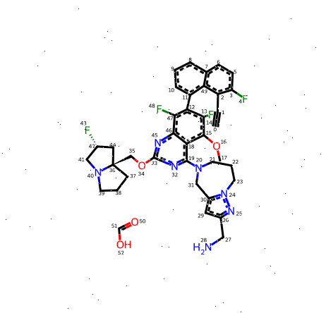 C#Cc1c(F)ccc2cccc(-c3c(F)c(OC)c4c(N5CCCn6nc(CN)cc6C5)nc(OC[C@@]56CCCN5C[C@H](F)C6)nc4c3F)c12.O=CO